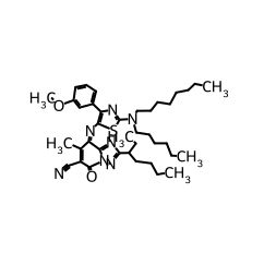 CCCCCCCCN(CCCCCC)c1nc(-c2cccc(OC)c2)c(/N=C2/C(C)=C(C#N)C(=O)n3nc(C(CC)CCCC)nc32)s1